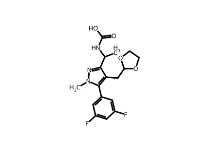 CC(NC(=O)O)c1nn(C)c(-c2cc(F)cc(F)c2)c1CC1OCCO1